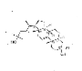 CC[C@]1(O)CC[C@]2(C)C3=CC[C@]4(C)[C@@H]([C@H](C)CCC(C)(C)O)CC[C@H]4[C@@H]3CC[C@H]2C1